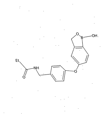 CCC(=O)NCc1ccc(Oc2ccc3c(c2)COB3O)cc1